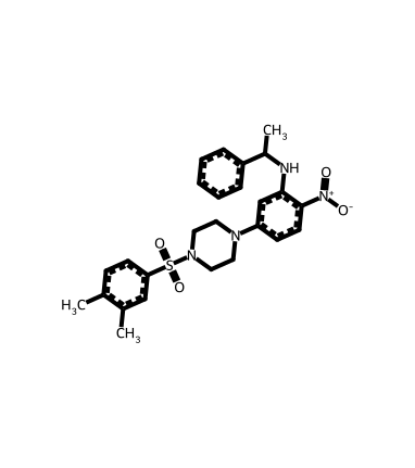 Cc1ccc(S(=O)(=O)N2CCN(c3ccc([N+](=O)[O-])c(NC(C)c4ccccc4)c3)CC2)cc1C